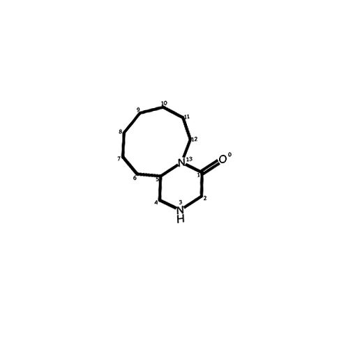 O=C1CNCC2CCCCCCCN12